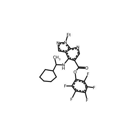 CCn1ncc2c(NC(C)C3CCCCC3)c(C(=O)Oc3c(F)c(F)c(F)c(F)c3F)cnc21